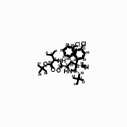 CC(C)C(NC(=O)[C@@H]1N[C@@H](CC(C)(C)C)[C@](C#N)(c2ccc(Cl)cc2)[C@H]1c1cccc(Cl)c1)C(=O)OC(C)(C)C